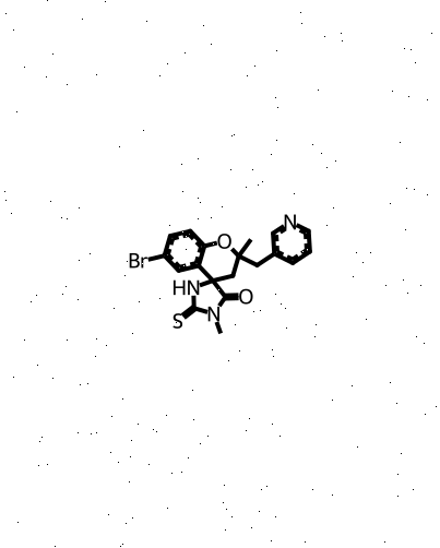 CN1C(=O)C2(CC(C)(Cc3cccnc3)Oc3ccc(Br)cc32)NC1=S